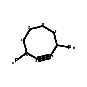 FC1C#CC(F)CCCC1